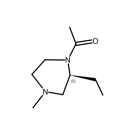 CC[C@H]1CN(C)CCN1C(C)=O